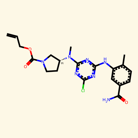 C=CCOC(=O)N1CC[C@@H](N(C)c2nc(Cl)nc(Nc3cc(C(N)=O)ccc3C)n2)C1